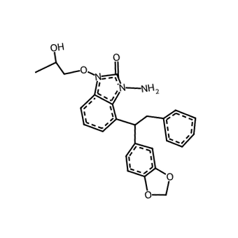 CC(O)COn1c(=O)n(N)c2c(C(Cc3ccccc3)c3ccc4c(c3)OCO4)cccc21